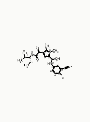 Cc1c(C(=O)C(=O)N[C@H](CO)C(C)C)cc(C(O)Nc2ccc(F)c(C#N)c2)n1C